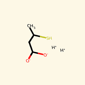 CC(S)CC([O-])[O-].[H+].[H+]